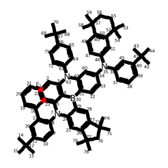 Cc1cc2c3c(c1)N(c1ccc(C(C)(C)C)cc1-c1ccccc1)c1cc4c(cc1B3c1ccc(N(c3cccc(C(C)(C)C)c3)c3ccc5c(c3)C(C)(C)CCC5(C)C)cc1N2c1ccc(C(C)(C)C)cc1)C(C)(C)CC4(C)C